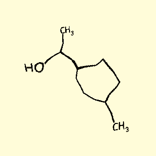 CC1CCC(C(C)O)C1